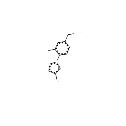 O=C(O)Cc1ccc(-n2cc(Br)cn2)c(Cl)c1